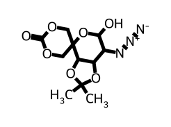 CC1(C)OC2C(N=[N+]=[N-])C(O)OC3(COC(=O)OC3)C2O1